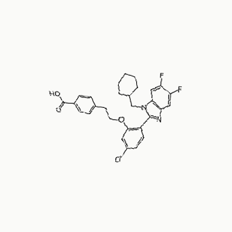 O=C(O)c1ccc(CCOc2cc(Cl)ccc2-c2nc3cc(F)c(F)cc3n2CC2CCCCC2)cc1